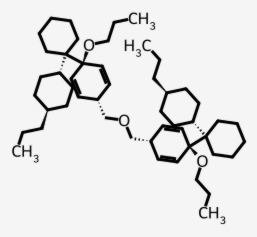 CCCO[C@]1(C2([C@H]3CC[C@H](CCC)CC3)CCCCC2)C=C[C@@H](COC[C@H]2C=C[C@@](OCCC)(C3([C@H]4CC[C@H](CCC)CC4)CCCCC3)C=C2)C=C1